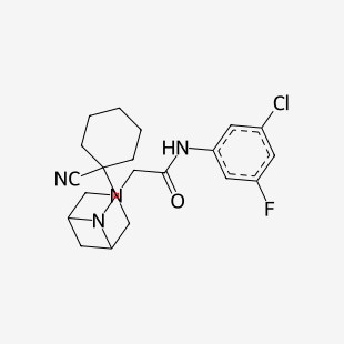 N#CC1(CN2C3CC2CN(CC(=O)Nc2cc(F)cc(Cl)c2)C3)CCCCC1